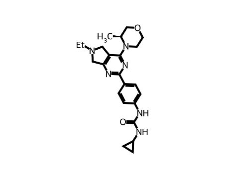 CCN1Cc2nc(-c3ccc(NC(=O)NC4CC4)cc3)nc(N3CCOC[C@@H]3C)c2C1